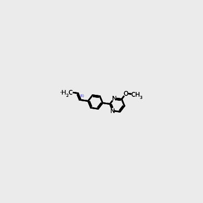 [CH2]/C=C/c1ccc(-c2nccc(OC)n2)cc1